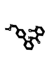 CO/N=C\c1ccc(-c2ccccc2NC(=O)c2cccnc2Cl)cc1